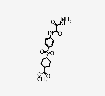 COC(=O)[C@H]1CC[C@@H](S(=O)(=O)c2ccc(NC(=O)C(=O)NN)cc2)CC1